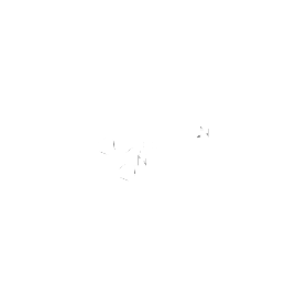 N#CCCCCCOc1cc(-c2ccccc2)c2ccccc2n1